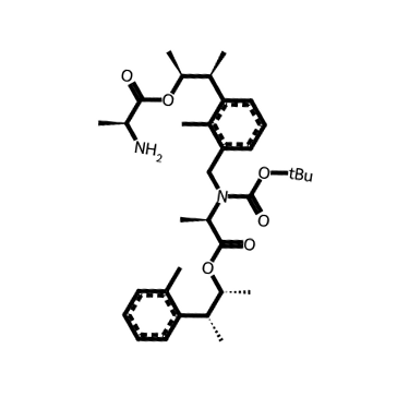 Cc1ccccc1[C@@H](C)[C@@H](C)OC(=O)[C@@H](C)N(Cc1cccc([C@H](C)[C@H](C)OC(=O)[C@H](C)N)c1C)C(=O)OC(C)(C)C